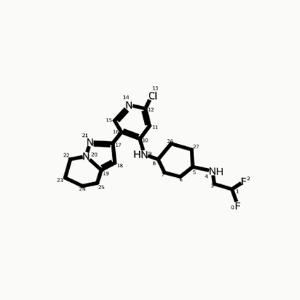 FC(F)CNC1CCC(Nc2cc(Cl)ncc2-c2cc3n(n2)CCCC3)CC1